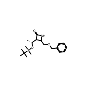 C[C@@H](O[Si](C)(C)C(C)(C)C)C1C(=O)NC1COCc1ccccc1